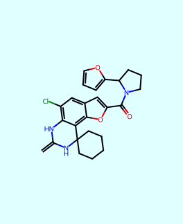 C=C1Nc2c(Cl)cc3cc(C(=O)N4CCCC4c4ccco4)oc3c2C2(CCCCC2)N1